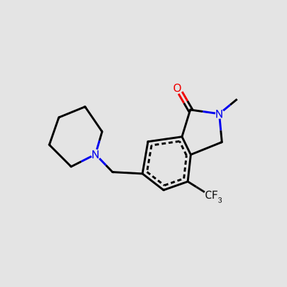 CN1Cc2c(cc(CN3CCCCC3)cc2C(F)(F)F)C1=O